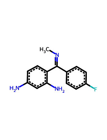 C/N=C(/c1ccc(F)cc1)c1ccc(N)cc1N